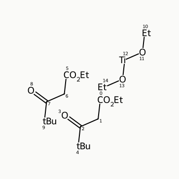 CCOC(=O)CC(=O)C(C)(C)C.CCOC(=O)CC(=O)C(C)(C)C.CC[O][Ti][O]CC